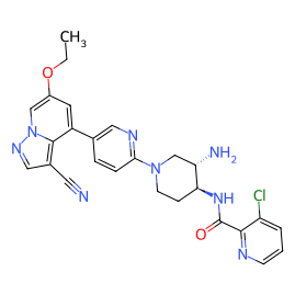 CCOc1cc(-c2ccc(N3CC[C@H](NC(=O)c4ncccc4Cl)[C@@H](N)C3)nc2)c2c(C#N)cnn2c1